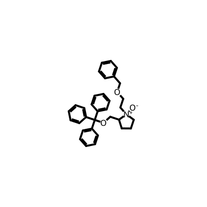 [O-][N+]1(CCOCc2ccccc2)CCCC1COC(c1ccccc1)(c1ccccc1)c1ccccc1